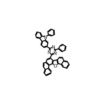 c1ccc(-c2nc(-c3ccc4c5ccccc5n(-c5ccccc5)c4c3)nc(-c3cc4ccc5ccccc5c4c4oc5c6ccccc6ccc5c34)n2)cc1